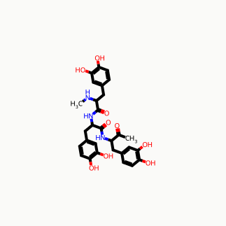 CNC(Cc1ccc(O)c(O)c1)C(=O)NC(Cc1ccc(O)c(O)c1)C(=O)NC(Cc1ccc(O)c(O)c1)C(C)=O